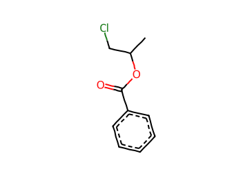 CC(CCl)OC(=O)c1ccccc1